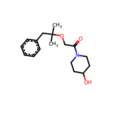 CC(C)(Cc1ccccc1)OCC(=O)N1CCC(O)CC1